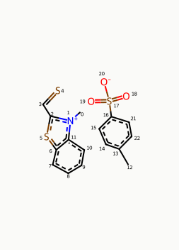 C[n+]1c(C=S)sc2ccccc21.Cc1ccc(S(=O)(=O)[O-])cc1